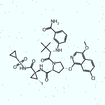 COc1cnc(O[C@@H]2C[C@@H](C(=O)N[C@]3(C(=O)NS(=O)(=O)C4CC4)C[C@H]3I)N(C(=O)[C@@H](Nc3cccc(C(N)=O)c3)C(C)(C)C)C2)c2cc(Cl)ccc12